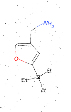 CC[Si](CC)(CC)c1cc(CN)co1